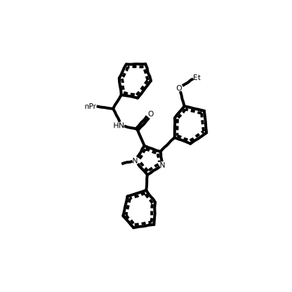 CCCC(NC(=O)c1c(-c2cccc(OCC)c2)nc(-c2ccccc2)n1C)c1ccccc1